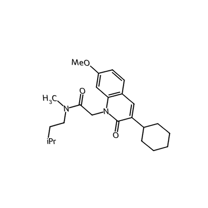 COc1ccc2cc(C3CCCCC3)c(=O)n(CC(=O)N(C)CCC(C)C)c2c1